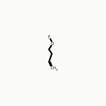 C=CCCOF